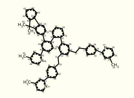 Cc1ccnc(-c2ccc(CCc3cc(CCc4ccc(-c5cc(C)ccn5)cc4)cc(-c4ccccc4-c4ccc(-c5cc(C)ccn5)cc4-c4ccc5c(c4)C(C)(C)c4ccccc4-5)c3)cc2)c1